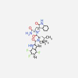 [2H]c1c(F)c(F)c2[nH]c(C(=O)N(C)[C@@H](CC(C)C)C(=O)N3C[C@]4(C[C@H]3C(N)=O)C(=O)Nc3ccccc34)c([2H])c2c1F